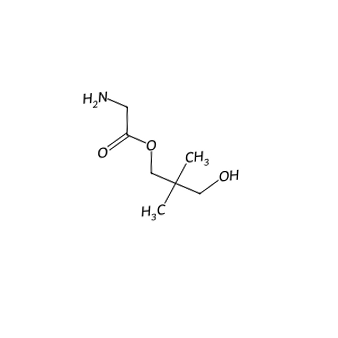 CC(C)(CO)COC(=O)CN